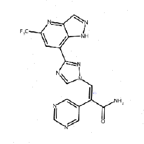 NC(=O)/C(=C/n1cnc(-c2cc(C(F)(F)F)nc3cn[nH]c23)n1)c1cncnc1